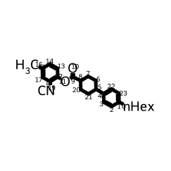 CCCCCCc1ccc(C2CCC(C(=O)Oc3ccc(C)cc3C#N)CC2)cc1